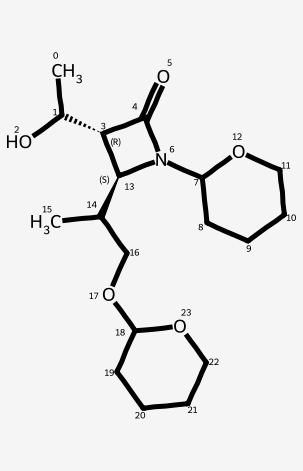 CC(O)[C@@H]1C(=O)N(C2CCCCO2)[C@H]1C(C)COC1CCCCO1